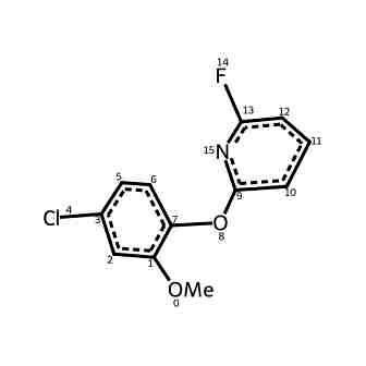 COc1cc(Cl)ccc1Oc1cccc(F)n1